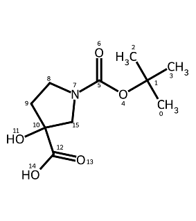 CC(C)(C)OC(=O)N1CCC(O)(C(=O)O)C1